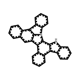 c1ccc2c(c1)cc1c3c4ccccc4c4c5ccccc5[nH]c4c3n3c4ccccc4c2c13